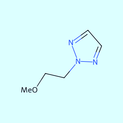 COCCn1nccn1